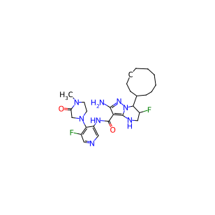 CN1CCN(c2c(F)cncc2NC(=O)c2c(N)nn3c2NCC(F)C3C2CCCCCCCCC2)CC1=O